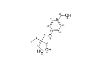 CCC(CO)(CO)COc1ccc(CO)cc1